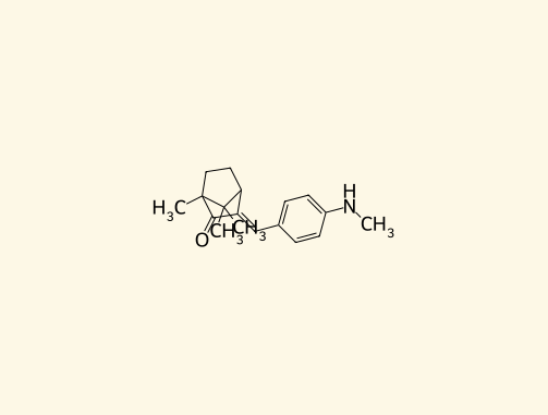 CNc1ccc(/C=C2/C(=O)C3(C)CCC2C3(C)C)cc1